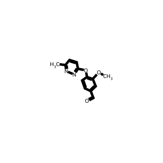 COc1cc(C=O)ccc1Oc1ccc(C)nn1